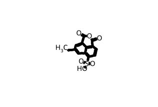 CCc1cc2c3c(ccc(S(=O)(=O)O)c3c1)C(=O)OC2=O